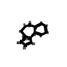 c1ccc2c(c1)SCCc1nncn1-2